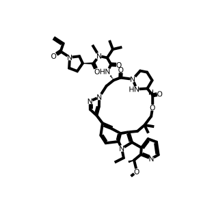 C=CC(=O)N1CC[C@H](C(=O)N(C)C(C(=O)N[C@H]2Cn3cc(cn3)-c3ccc4c(c3)c(c(-c3cccnc3[C@H](C)OC)n4CC)CC(C)(C)COC(=O)[C@@H]3CCCN(N3)C2=O)C(C)C)C1